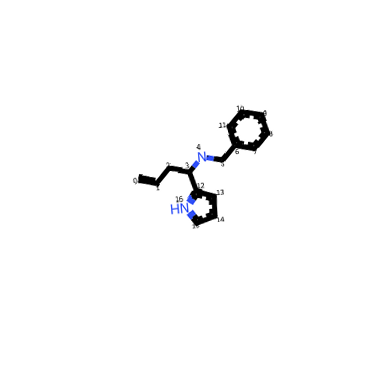 C=CCC([N]Cc1ccccc1)c1ccc[nH]1